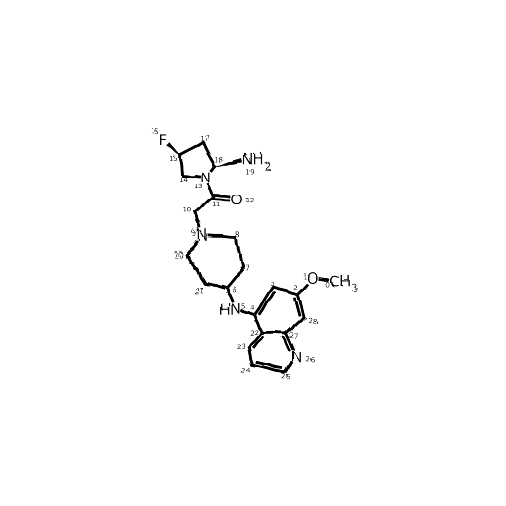 COc1cc(NC2CCN(CC(=O)N3C[C@@H](F)C[C@H]3N)CC2)c2cccnc2c1